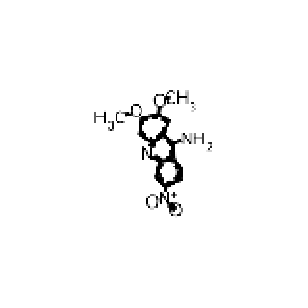 COc1cc2nc3cc([N+](=O)[O-])ccc3c(N)c2cc1OC